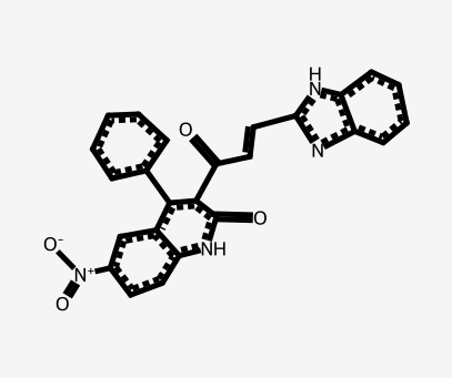 O=C(C=Cc1nc2ccccc2[nH]1)c1c(-c2ccccc2)c2cc([N+](=O)[O-])ccc2[nH]c1=O